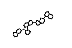 c1ccc2cc(-n3c4ccccc4c4c5cc(-c6ccc7ccc(-c8cccc9ccccc89)cc7c6)ccc5ccc43)ccc2c1